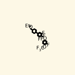 CCOCC1CC=C(c2cc(F)c(C(F)(F)Oc3ccc(OC(F)(F)F)c(F)c3)c(F)c2)CC1